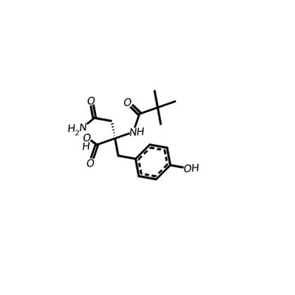 CC(C)(C)C(=O)N[C@@](CC(N)=O)(Cc1ccc(O)cc1)C(=O)O